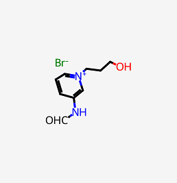 O=CNc1ccc[n+](CCCO)c1.[Br-]